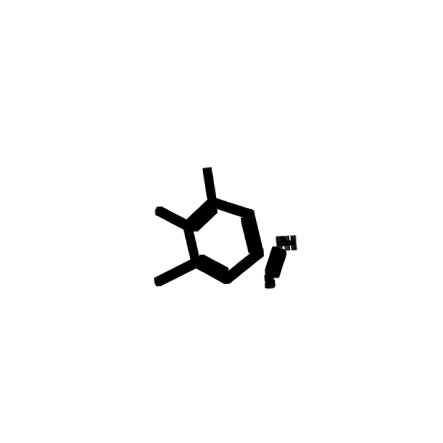 Cc1cccc(C)c1C.P=S